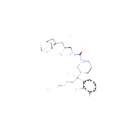 COCCCC[C@@](O)(c1cccc(Cl)c1F)[C@@H]1CCCN(C(=O)NC[C@@H](N)[C@@H](O)C23CC4CC(CC2C4)C3)C1